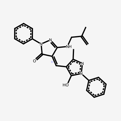 C=C(C)CNC1=NN(c2ccccc2)C(=O)/C1=C/c1c(C)nn(-c2ccccc2)c1O